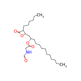 CCCCCCCCCCCC(CC1OC(=O)C1CCCCCC)OC(=O)CNC=O